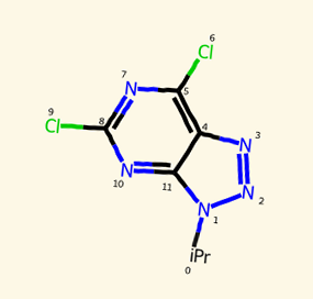 CC(C)n1nnc2c(Cl)nc(Cl)nc21